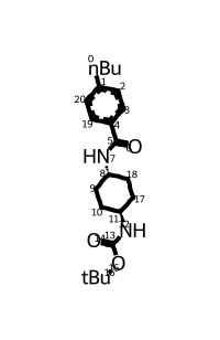 CCCCc1ccc(C(=O)N[C@H]2CC[C@H](NC(=O)OC(C)(C)C)CC2)cc1